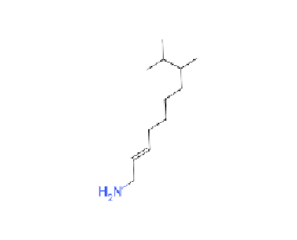 CC(C)C(C)CCCC/C=C/CN